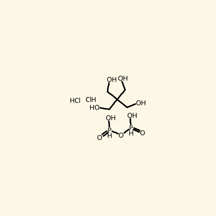 Cl.Cl.O=[PH](O)O[PH](=O)O.OCC(CO)(CO)CO